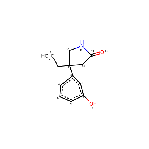 O=C(O)CC1(c2cccc(O)c2)CNC(=O)C1